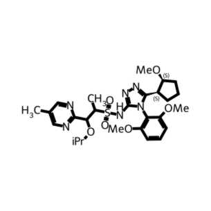 COc1cccc(OC)c1-n1c(NS(=O)(=O)C(C)C(OC(C)C)c2ncc(C)cn2)nnc1[C@@H]1CCC[C@@H]1OC